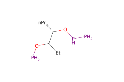 CCC[C@H](OPP)C(CC)OP